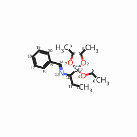 CCO[Si](OCC)(OCC)C(CC)/N=C/c1ccccc1